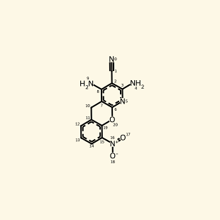 N#Cc1c(N)nc2c(c1N)Cc1cccc([N+](=O)[O-])c1O2